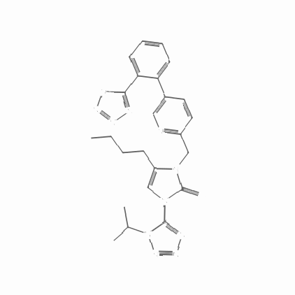 CCCCc1cn(-c2nnnn2C(C)C)c(=O)n1Cc1ccc(-c2ccccc2-c2nnn[nH]2)cn1